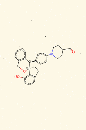 O=CC1CCN(c2ccc([C@@H]3c4ccccc4CO[C@@]34CCc3cccc(O)c34)cc2)CC1